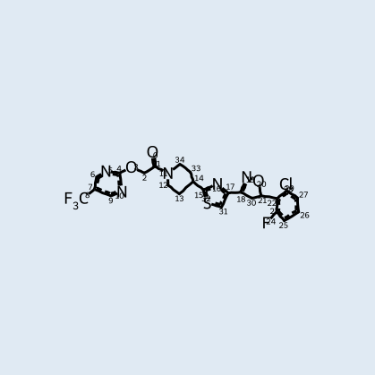 O=C(COc1ncc(C(F)(F)F)cn1)N1CCC(c2nc(C3=NOC(c4c(F)cccc4Cl)C3)cs2)CC1